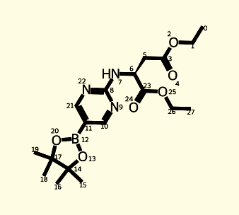 CCOC(=O)C[C@H](Nc1ncc(B2OC(C)(C)C(C)(C)O2)cn1)C(=O)OCC